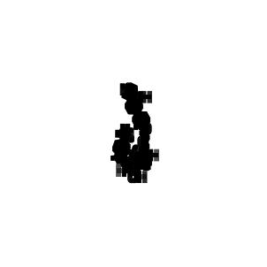 Cc1ncsc1-c1ccc([C@H](C)NC(=O)[C@@H]2C[C@@H](O)CN2C(=O)C(NC(=O)COCCOc2ccc(-c3ccc4c(c3)[nH]c3ccncc34)cn2)C(C)(C)C)cc1